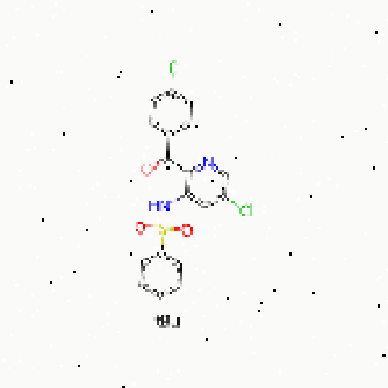 CC(C)(C)c1ccc(S(=O)(=O)Nc2cc(Cl)cnc2C(=O)c2ccc(Cl)cc2)cc1